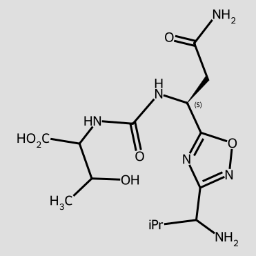 CC(C)C(N)c1noc([C@H](CC(N)=O)NC(=O)NC(C(=O)O)C(C)O)n1